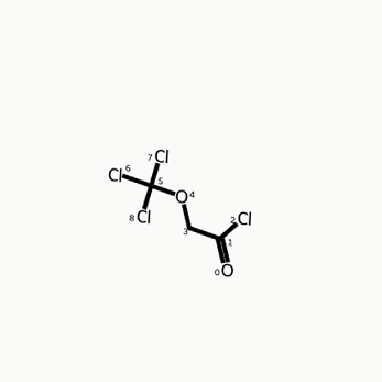 O=C(Cl)COC(Cl)(Cl)Cl